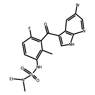 CCN(C)S(=O)(=O)Nc1ccc(F)c(C(=O)c2c[nH]c3ncc(Br)cc23)c1C